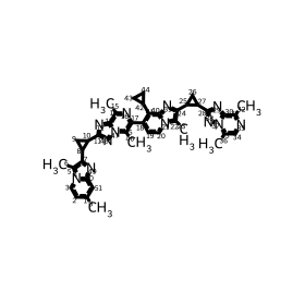 Cc1ccn2c(C)c(C3CC3c3nc4c(C)nc(-c5ccn6c(C)c(C7CC7c7nc8c(C)ncc(C)n8n7)nc6c5C5CC5)c(C)n4n3)nc2c1